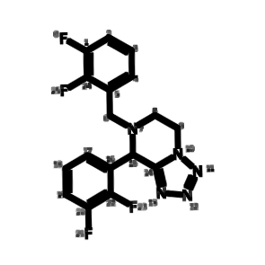 Fc1cccc(CN2CCn3nnnc3C2c2cccc(F)c2F)c1F